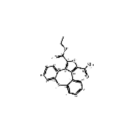 CCOC(=O)c1sc(C(=O)O)c2c1-c1ccccc1Sc1ccccc1-2